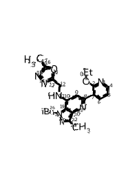 CCOc1ncccc1-c1cc(NCc2nnc(C)o2)c2c(n1)c(C)nn2[C@H](C)CC